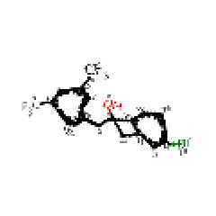 OC1(Cc2cc(C(F)(F)F)cc(C(F)(F)F)c2)Cc2cc(Br)ccc21